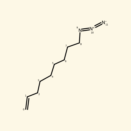 C=CCCCCCCCN=[N+]=[N-]